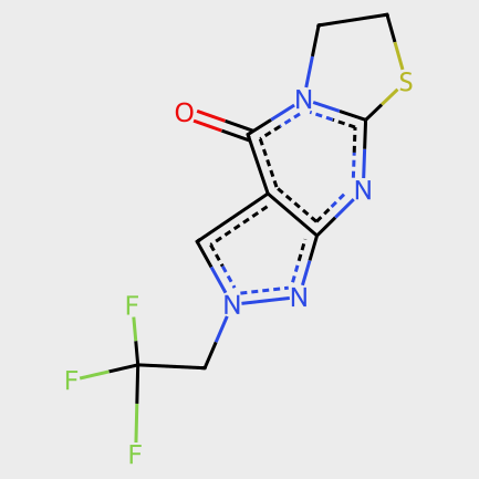 O=c1c2cn(CC(F)(F)F)nc2nc2n1CCS2